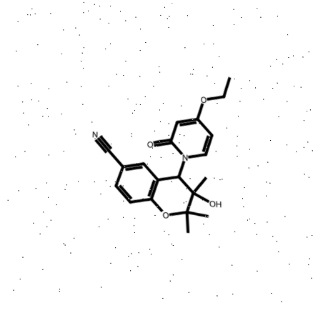 CCOc1ccn(C2c3cc(C#N)ccc3OC(C)(C)C2(C)O)c(=O)c1